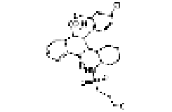 O=C(O)C1c2ccccc2C(=O)N(C2CCCCC2NS(=O)(=O)CCCCl)C1c1ccc(Cl)cc1Cl